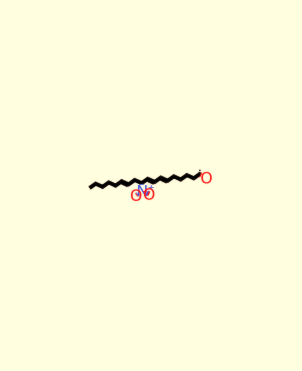 CCCCC/C=C/CC(/C=C/C=C/CCCC[C]=O)[N+](=O)[O-]